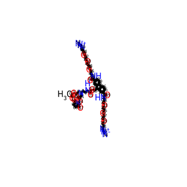 CC(=O)OCCN(CCNC(=O)OCC1c2cc(C(=O)NCCOCCOCCOCCN=[N+]=[N-])ccc2-c2ccc(C(=O)NCCOCCOCCOCCN=[N+]=[N-])cc21)CC(=O)ON1C(=O)CCC1=O